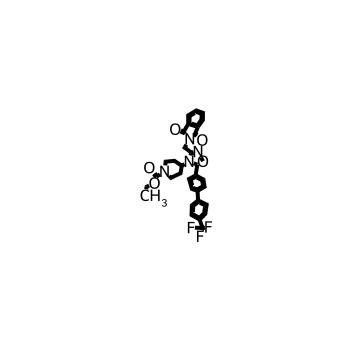 CCOC(=O)N1CCC(N2C(CN3C(=O)c4ccccc4C3=O)=NOC2c2ccc(-c3ccc(C(F)(F)F)cc3)cc2)CC1